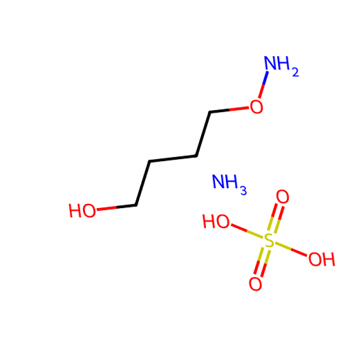 N.NOCCCCO.O=S(=O)(O)O